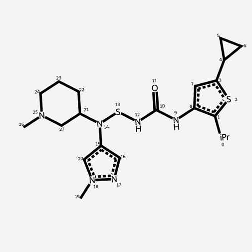 CC(C)c1sc(C2CC2)cc1NC(=O)NSN(c1cnn(C)c1)C1CCCN(C)C1